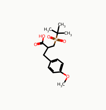 COc1ccc(CC(CS(=O)(=O)C(C)(C)C)C(=O)O)cc1